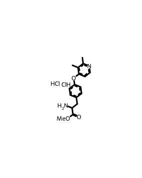 COC(=O)C(N)Cc1ccc(Oc2ccnc(C)c2C)cc1.Cl.Cl